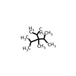 CC(C)C(C)(C(C)C)C(C)C